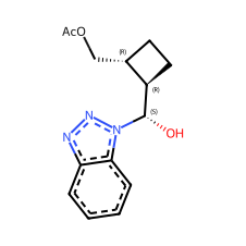 CC(=O)OC[C@@H]1CC[C@H]1[C@H](O)n1nnc2ccccc21